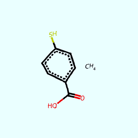 C.O=C(O)c1ccc(S)cc1